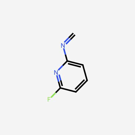 C=Nc1cccc(F)n1